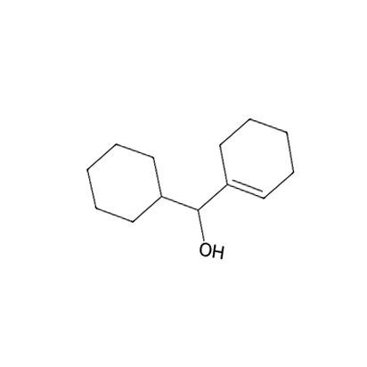 OC(C1=CCCCC1)C1CCCCC1